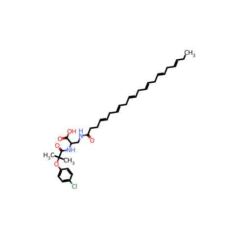 CCC=CCC=CCC=CCC=CCC=CCC=CCCC(=O)NCC(NC(=O)C(C)(C)Oc1ccc(Cl)cc1)C(=O)O